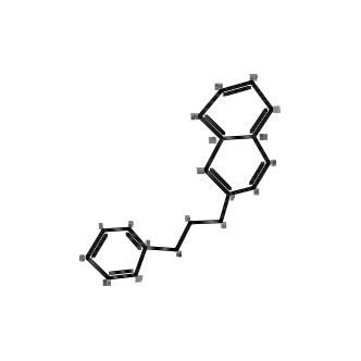 c1ccc(CCCc2ccc3ccccc3c2)cc1